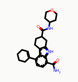 NC(=O)c1ccc(C2=CCCCC2)c2c3c([nH]c12)CC(C(=O)NC1CCOCC1)CC3